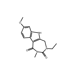 CCN1Cc2[nH]c3cc(OC)ccc3c2C(=O)N(C)C1=O